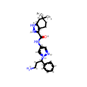 CC1(C)CCc2c(C(=O)Nc3cnn(C(CCN)c4ccccc4)c3)n[nH]c2C1